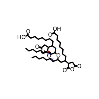 CCCCC/C=C/C(CC(CCCCCCCC(=O)O)C1CC(=O)OC1=O)OC(/C=C/CCCCCC)CC(CCCCCCCC(=O)O)C1CC(=O)OC1=O